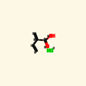 C=CC(=C)C(=O)O.Cl